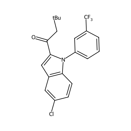 CC(C)(C)CC(=O)c1cc2cc(Cl)ccc2n1-c1cccc(C(F)(F)F)c1